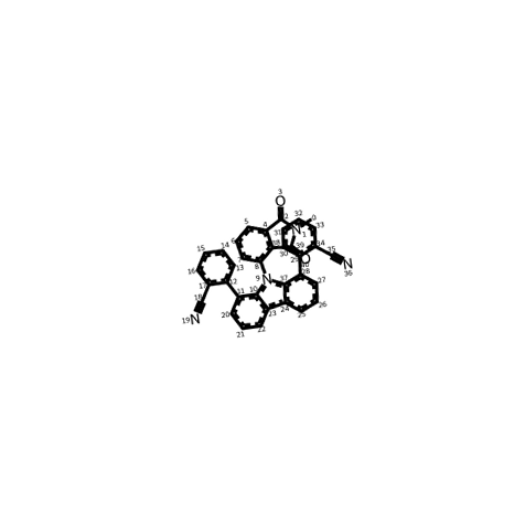 CN1C(=O)c2cccc(-n3c4c(-c5ccccc5C#N)cccc4c4cccc(-c5ccccc5C#N)c43)c2C1=O